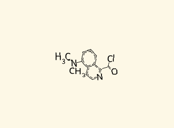 CN(C)c1cccc2c(C(=O)Cl)nccc12